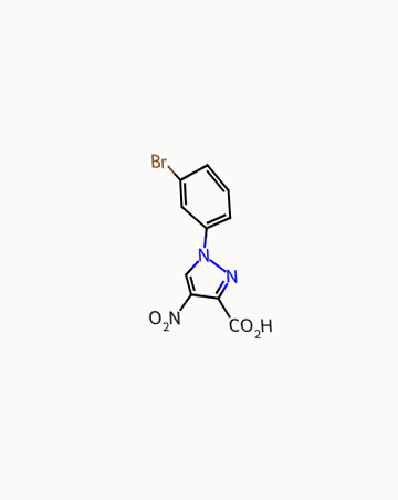 O=C(O)c1nn(-c2cccc(Br)c2)cc1[N+](=O)[O-]